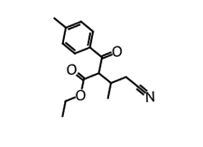 CCOC(=O)C(C(=O)c1ccc(C)cc1)C(C)CC#N